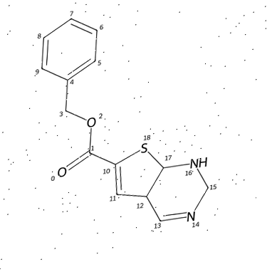 O=C(OCc1ccccc1)C1=CC2C=NCNC2S1